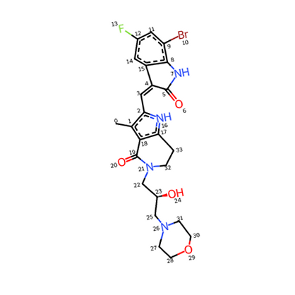 Cc1c(C=C2C(=O)Nc3c(Br)cc(F)cc32)[nH]c2c1C(=O)N(C[C@@H](O)CN1CCOCC1)CC2